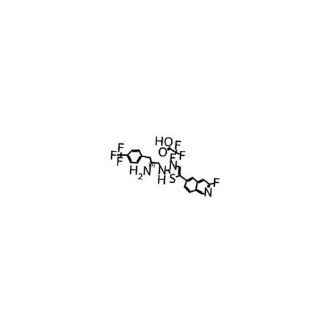 N[C@H](CNc1ncc(-c2ccc3cnc(F)cc3c2)s1)Cc1ccc(C(F)(F)F)cc1.O=C(O)C(F)(F)F